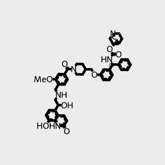 COc1cc(C(=O)N2CCC(COc3cccc([C@@H](NC(=O)OC4CN5CCC4CC5)c4ccccc4)c3)CC2)ccc1CNCC(O)c1ccc(O)c2[nH]c(=O)ccc12